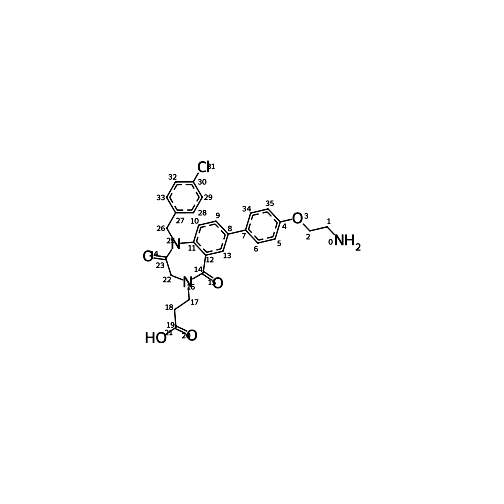 NCCOc1ccc(-c2ccc3c(c2)C(=O)N(CCC(=O)O)CC(=O)N3Cc2ccc(Cl)cc2)cc1